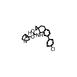 O=C(NC1c2cc(-c3ccc(Cl)cc3)ccc2CCC12CC2)O[C@H]1CN2CCC1CC2